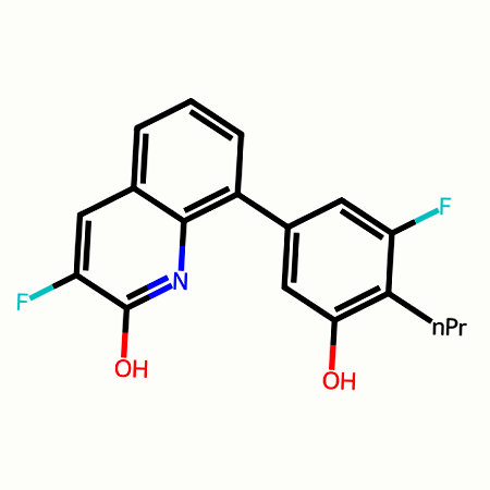 CCCc1c(O)cc(-c2cccc3cc(F)c(O)nc23)cc1F